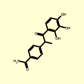 [CH2]C(C(=O)c1ccc(O)c(O)c1O)c1ccc(C(N)=O)cc1